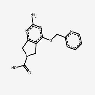 Nc1nc2c(c(OCc3ccccn3)n1)CN(C(=O)O)C2